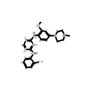 COc1cc(N2CCN(C)CC2)ccc1Nc1ncnc(Nc2ccccc2F)n1